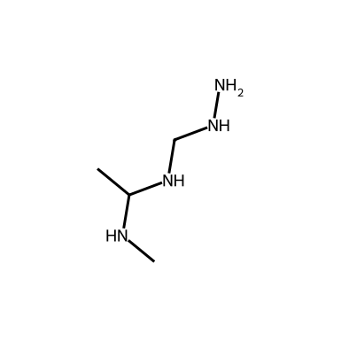 CNC(C)NCNN